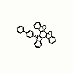 c1ccc(-c2ccc(-n3c4ccccc4c4c5c6ccccc6oc5c5oc6ccccc6c5c43)cc2)cc1